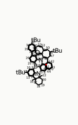 Cc1cc2c3c(c1)N1c4c(cc(C(C)(C)C)cc4C4(C)CCCCC14C)B3c1ccc3c(oc4cc(C(C)(C)C)ccc43)c1N2C1=C(c2ccccc2)C=C(C(C)(C)C)C=C2C=CC=CC=C21